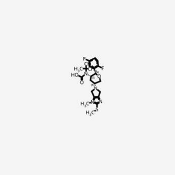 CSc1nc2c(n1C)CN([C@H]1CO[C@H](c3cc(F)ccc3F)[C@@H](N(C(=O)O)C(C)(C)C)C1)C2